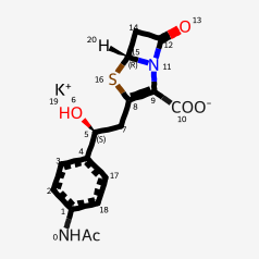 CC(=O)Nc1ccc([C@@H](O)CC2=C(C(=O)[O-])N3C(=O)C[C@H]3S2)cc1.[K+]